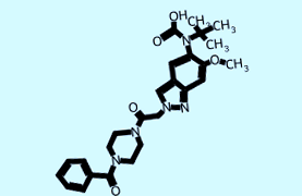 COc1cc2nn(CC(=O)N3CCN(C(=O)c4ccccc4)CC3)cc2cc1N(C(=O)O)C(C)(C)C